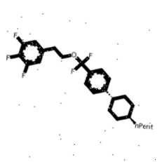 CCCCC[C@H]1CC[C@H](c2ccc(C(F)(F)OCCc3cc(F)c(F)c(F)c3)cc2)CC1